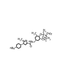 C=C(OCC)C(C)(C)Oc1c(C)cc(CNC(=O)c2cc(-c3ccc(CCCC)cc3)n(C)n2)cc1C